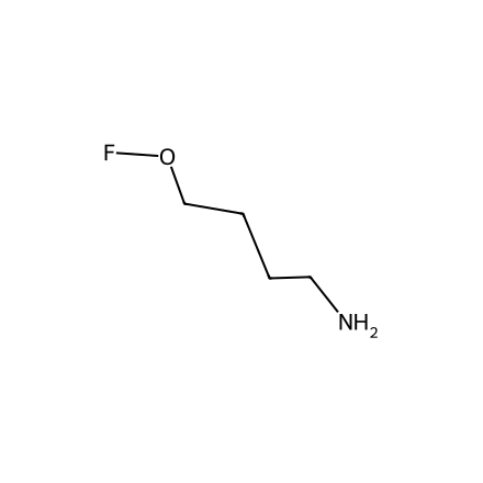 NCCCCOF